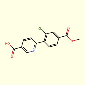 COC(=O)c1ccc(-c2ccc(C(=O)O)cn2)c(Cl)c1